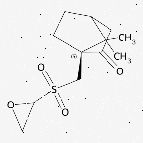 CC1(C)C2CC[C@@]1(CS(=O)(=O)C1CO1)C(=O)C2